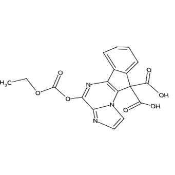 CCOC(=O)Oc1nc2c(n3ccnc13)C(C(=O)O)(C(=O)O)c1ccccc1-2